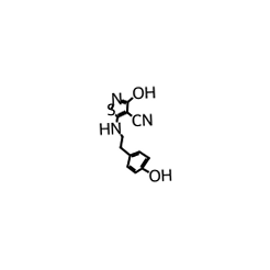 N#Cc1c(O)nsc1NCCc1ccc(O)cc1